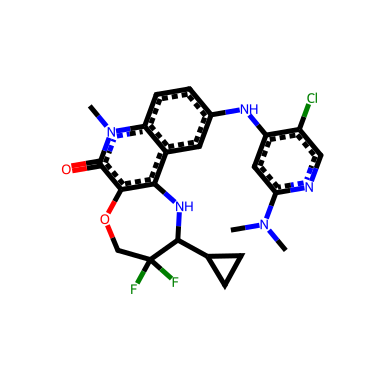 CN(C)c1cc(Nc2ccc3c(c2)c2c(c(=O)n3C)OCC(F)(F)C(C3CC3)N2)c(Cl)cn1